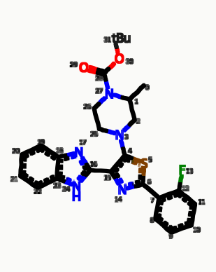 CC1CN(c2sc(-c3ccccc3F)nc2-c2nc3ccccc3[nH]2)CCN1C(=O)OC(C)(C)C